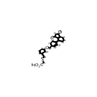 O=C(O)CSCc1cccc(OCc2ccc(-c3cccc4c3C(=O)CC4=O)cc2)c1